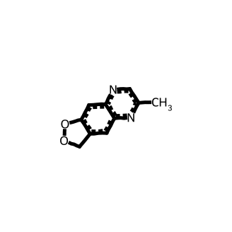 Cc1cnc2cc3c(cc2n1)COO3